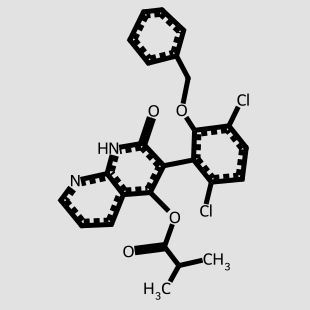 CC(C)C(=O)Oc1c(-c2c(Cl)ccc(Cl)c2OCc2ccccc2)c(=O)[nH]c2ncccc12